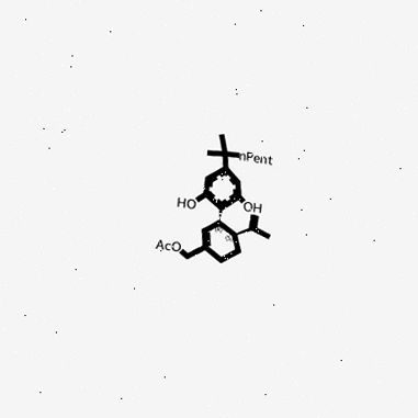 C=C(C)[C@H]1CCC(COC(C)=O)=C[C@@H]1c1c(O)cc(C(C)(C)CCCCC)cc1O